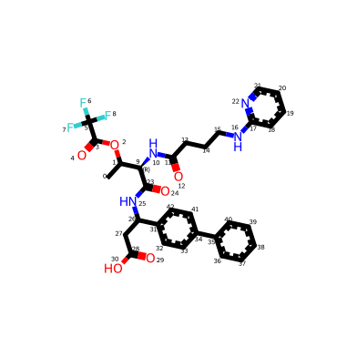 CC(OC(=O)C(F)(F)F)[C@@H](NC(=O)CCCNc1ccccn1)C(=O)NC(CC(=O)O)c1ccc(-c2ccccc2)cc1